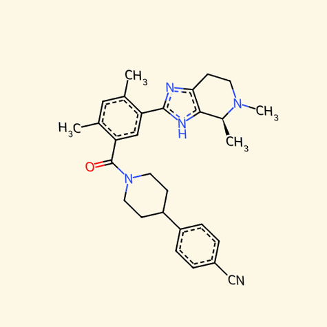 Cc1cc(C)c(-c2nc3c([nH]2)[C@H](C)N(C)CC3)cc1C(=O)N1CCC(c2ccc(C#N)cc2)CC1